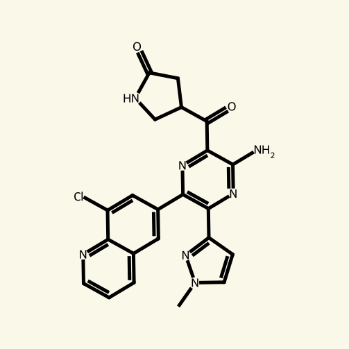 Cn1ccc(-c2nc(N)c(C(=O)C3CNC(=O)C3)nc2-c2cc(Cl)c3ncccc3c2)n1